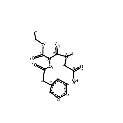 CCOC(=O)N(OC(=O)Cc1ccccc1)C(=N)N(C)CC(=O)O